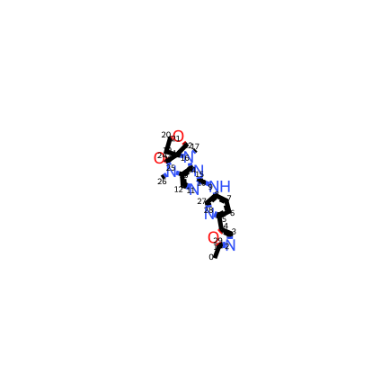 Cc1ncc(-c2ccc(Nc3ncc4c(n3)N(C)C3(CCOC3)C(=O)N4C)cn2)o1